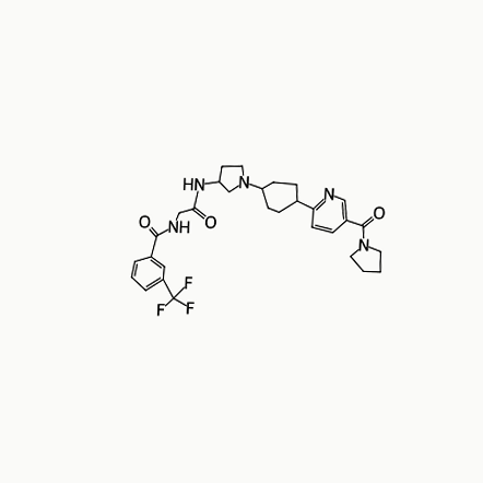 O=C(CNC(=O)c1cccc(C(F)(F)F)c1)NC1CCN(C2CCC(c3ccc(C(=O)N4CCCC4)cn3)CC2)C1